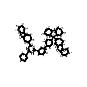 c1ccc(-c2nc(-c3cccc(-c4ccc(C5(c6ccc7c(c6)oc6ccccc67)c6ccccc6-c6ccccc65)cc4)c3)nc(-c3ccc4c(c3)oc3ccccc34)n2)cc1